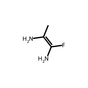 C/C(N)=C(/N)F